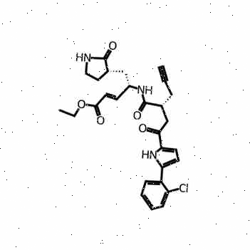 C#CC[C@H](CC(=O)c1ccc(-c2ccccc2Cl)[nH]1)C(=O)N[C@H](/C=C/C(=O)OCC)C[C@@H]1CCNC1=O